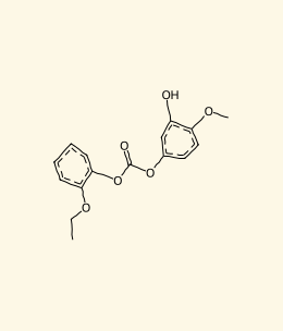 CCOc1ccccc1OC(=O)Oc1ccc(OC)c(O)c1